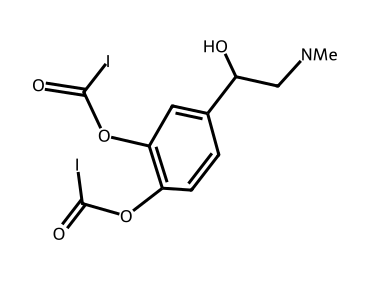 CNCC(O)c1ccc(OC(=O)I)c(OC(=O)I)c1